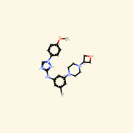 CCc1cc(Nc2ncn(-c3ccc(OC(F)(F)F)cc3)n2)cc(N2CCN(C3COC3)CC2)c1